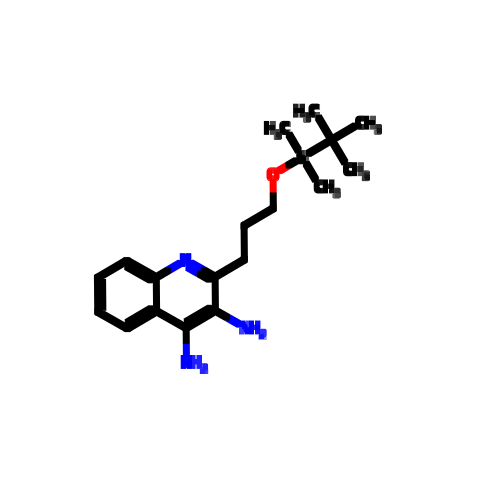 CC(C)(C)[Si](C)(C)OCCCc1nc2ccccc2c(N)c1N